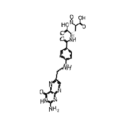 Nc1nc2ncc(CNc3ccc(C(=O)N[C@@H](CC(N=O)C(=O)O)C(=O)O)cc3)nc2c(=O)[nH]1